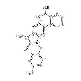 CC(C)c1ccccc1-c1ncc2c(n1)n(Cc1ccc(N)cc1)c(=O)n2C